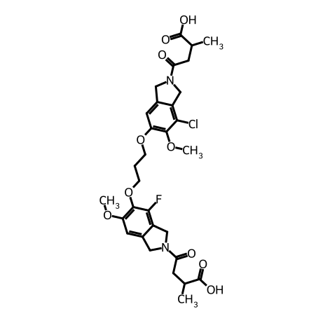 COc1cc2c(c(F)c1OCCCOc1cc3c(c(Cl)c1OC)CN(C(=O)CC(C)C(=O)O)C3)CN(C(=O)CC(C)C(=O)O)C2